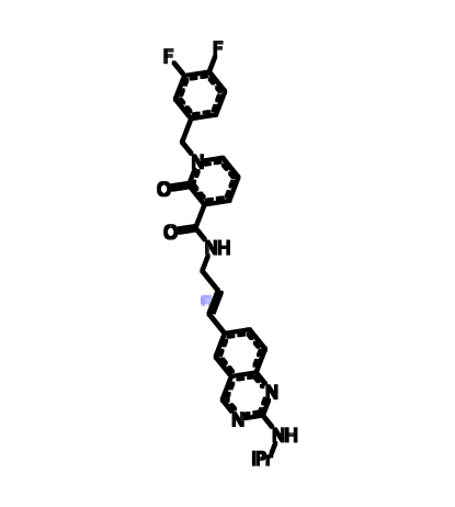 CC(C)Nc1ncc2cc(/C=C/CNC(=O)c3cccn(Cc4ccc(F)c(F)c4)c3=O)ccc2n1